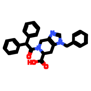 O=C(O)C1Cc2c(ncn2Cc2ccccc2)CN1C(=O)C(c1ccccc1)c1ccccc1